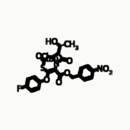 C[C@@H](O)[C@H]1C(=O)N(C(C(=O)OCc2ccc([N+](=O)[O-])cc2)=C(Oc2ccc(F)cc2)SC(=O)C(C)(C)C)[C@H]1Cl